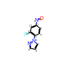 O=Nc1ccc(-n2cccn2)c(F)c1